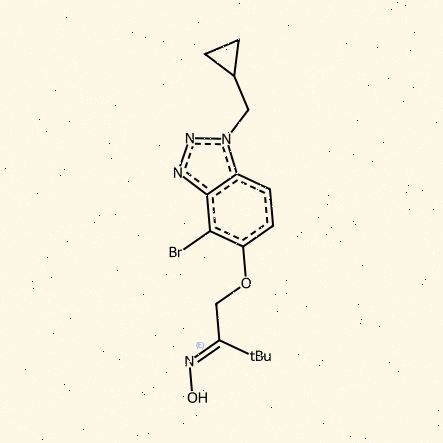 CC(C)(C)/C(COc1ccc2c(nnn2CC2CC2)c1Br)=N\O